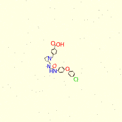 CN(CC(=O)Nc1ccc(Oc2ccc(Cl)cc2)cc1)C[C@H]1CCCN1Cc1ccc(C(=O)O)cc1